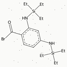 CC[Si](CC)(CC)Nc1ccc(C(=O)Br)c(N[Si](CC)(CC)CC)c1